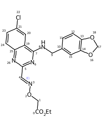 CCOC(=O)CO/N=C/c1nc(NCc2ccc3c(c2)OCO3)c2cc(Cl)ccc2n1